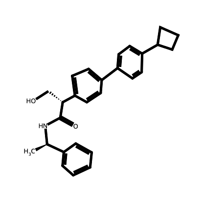 C[C@@H](NC(=O)[C@H](CO)c1ccc(-c2ccc(C3CCC3)cc2)cc1)c1ccccc1